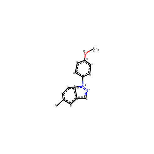 Cc1ccc2c(cnn2-c2ccc(OC(F)(F)F)cc2)c1